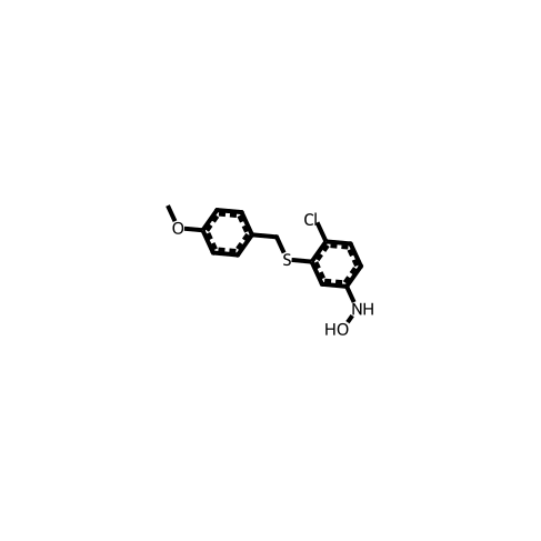 COc1ccc(CSc2cc(NO)ccc2Cl)cc1